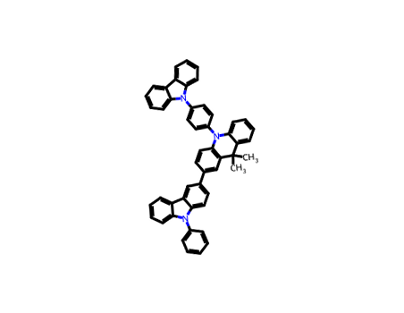 CC1(C)c2ccccc2N(c2ccc(-n3c4ccccc4c4ccccc43)cc2)c2ccc(-c3ccc4c(c3)c3ccccc3n4-c3ccccc3)cc21